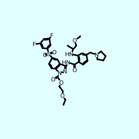 CCOCCOC(=O)n1nc(NC(=O)c2ccc(CN3CCCC3)cc2NC(C)COC)c2cc(S(=O)(=O)c3cc(F)cc(F)c3)ccc21